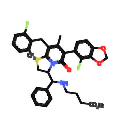 CCOC(=O)CCCNC(c1ccccc1)C1CSc2c(Cc3c(F)cccc3C(F)(F)F)c(C)c(-c3ccc4c(c3F)OCO4)c(=O)n21